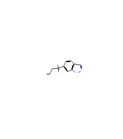 CCCC(C)(C)c1ccc2cn[nH]c2c1